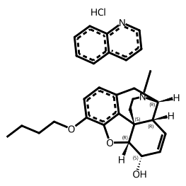 CCCCOc1ccc2c3c1O[C@H]1[C@@H](O)C=C[C@H]4[C@@H](C2)N(C)CC[C@@]341.Cl.c1ccc2ncccc2c1